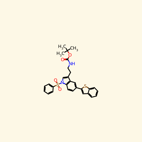 CC(C)(C)OC(=O)NCCc1cn(S(=O)(=O)c2ccccc2)c2ccc(-c3cc4ccccc4s3)cc12